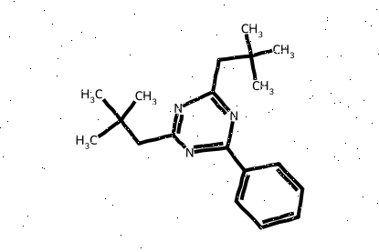 CC(C)(C)Cc1nc(CC(C)(C)C)nc(-c2ccccc2)n1